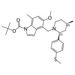 COc1cc(C)c2c(ccn2C(=O)OC(C)(C)C)c1CN1CC[C@@H](C)C[C@H]1c1ccc(SC)cc1